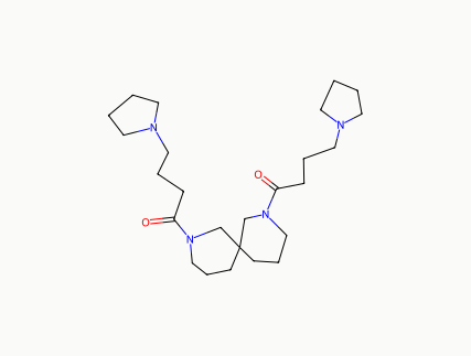 O=C(CCCN1CCCC1)N1CCCC2(CCCN(C(=O)CCCN3CCCC3)C2)C1